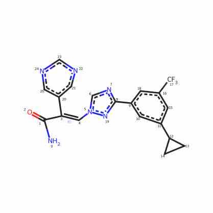 NC(=O)/C(=C/n1cnc(-c2cc(C3CC3)cc(C(F)(F)F)c2)n1)c1cncnc1